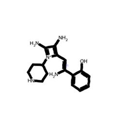 NC1=C(/C=C(\N)c2ccccc2O)[N+](C2CCNCC2)=C1N